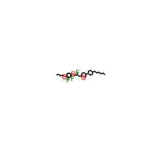 CCCCCCC1CCC(C2CCC(CC(F)COc3ccc(OCCCC)c(F)c3F)OC2)CC1